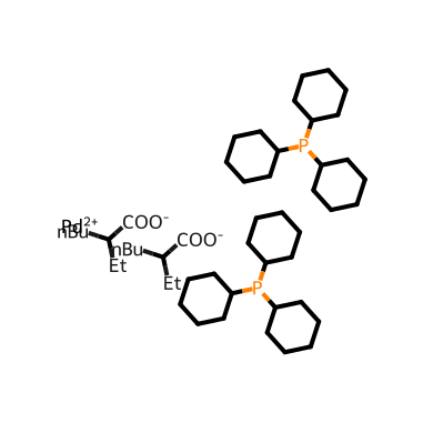 C1CCC(P(C2CCCCC2)C2CCCCC2)CC1.C1CCC(P(C2CCCCC2)C2CCCCC2)CC1.CCCCC(CC)C(=O)[O-].CCCCC(CC)C(=O)[O-].[Pd+2]